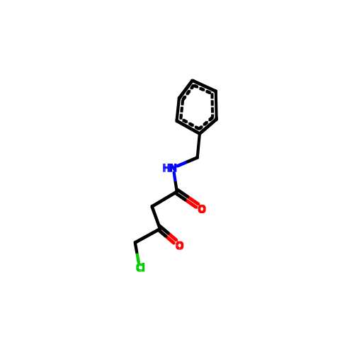 O=C(CCl)CC(=O)NCc1ccccc1